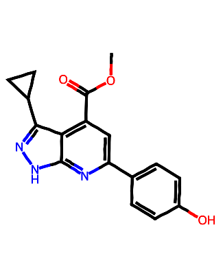 COC(=O)c1cc(-c2ccc(O)cc2)nc2[nH]nc(C3CC3)c12